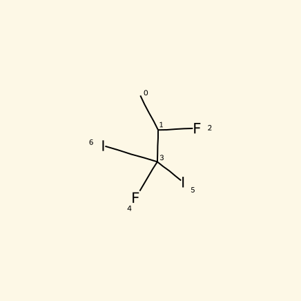 CC(F)C(F)(I)I